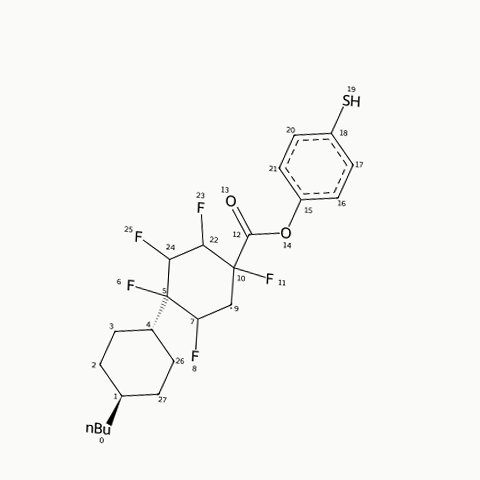 CCCC[C@H]1CC[C@H](C2(F)C(F)[CH]C(F)(C(=O)Oc3ccc(S)cc3)C(F)C2F)CC1